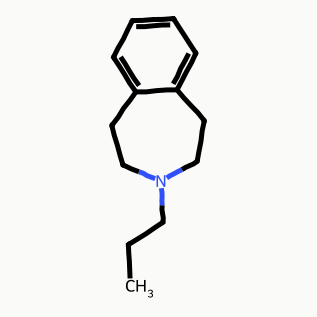 CCCN1CCc2ccccc2CC1